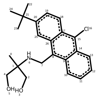 CC(CO)(CO)NCc1c2ccccc2c(Cl)c2ccc(C(C)(C)C)cc12